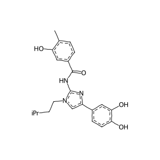 Cc1ccc(C(=O)Nc2nc(-c3ccc(O)c(O)c3)cn2CCC(C)C)cc1O